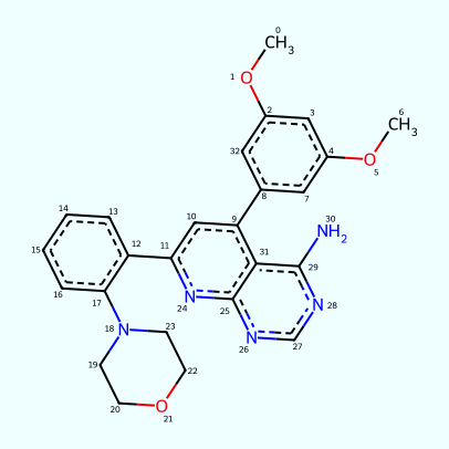 COc1cc(OC)cc(-c2cc(-c3ccccc3N3CCOCC3)nc3ncnc(N)c23)c1